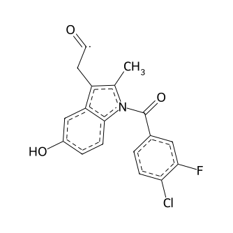 Cc1c(C[C]=O)c2cc(O)ccc2n1C(=O)c1ccc(Cl)c(F)c1